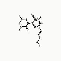 CCOC=Cc1cc(C(CC(C)C)C(=O)OC)c(=O)n(C)c1